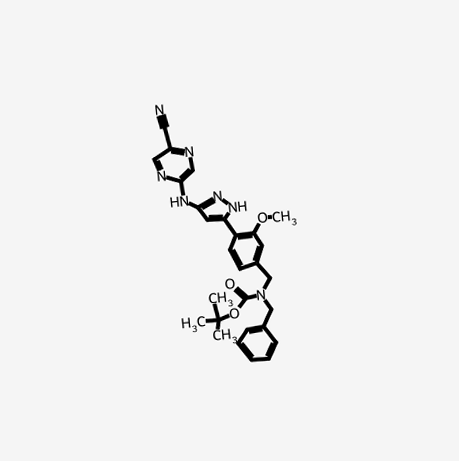 COc1cc(CN(Cc2ccccc2)C(=O)OC(C)(C)C)ccc1-c1cc(Nc2cnc(C#N)cn2)n[nH]1